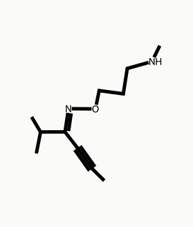 CC#C/C(=N\OCCCNC)C(C)C